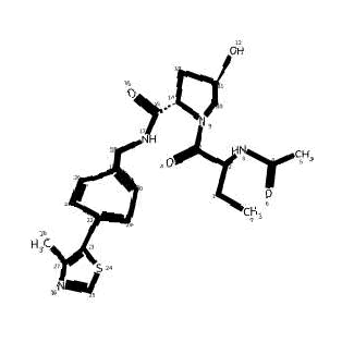 CCC(NC(C)=O)C(=O)N1C[C@H](O)C[C@H]1C(=O)NCc1ccc(-c2scnc2C)cc1